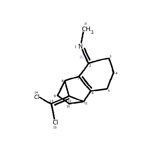 C/N=C1\CCCC2=C1C1CCC2C1=C(Cl)Cl